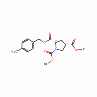 CCCOC(=O)[C@H]1C[C@@H](C(=O)OCc2ccc(OC)cc2)N(C(=O)OC(C)(C)C)C1